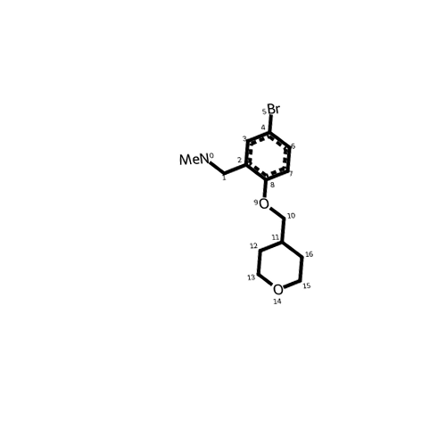 CNCc1cc(Br)ccc1OCC1CCOCC1